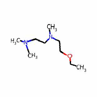 CCOCCN(C)CCN(C)C